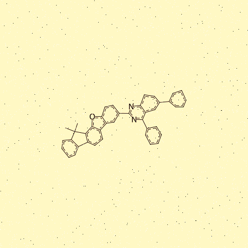 CC1(C)c2ccccc2-c2ccc3c(oc4ccc(-c5nc(-c6ccccc6)c6cc(-c7ccccc7)ccc6n5)cc43)c21